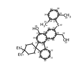 CCC1(CC)CCC2(CC1)c1ccccc1-c1c2cc(O)c2cc(Sc3c(C)cccc3C)c(CO)cc12